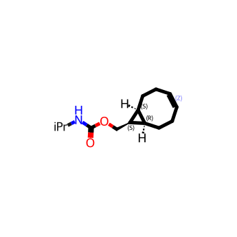 CC(C)NC(=O)OC[C@@H]1[C@@H]2CC/C=C\CC[C@@H]21